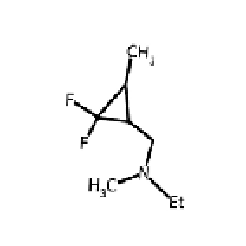 CCN(C)CC1C(C)C1(F)F